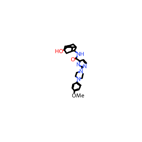 COc1ccc(N2CCN(c3nccc(C(=O)NC4C5CC6CC4CC(O)(C6)C5)n3)CC2)cc1